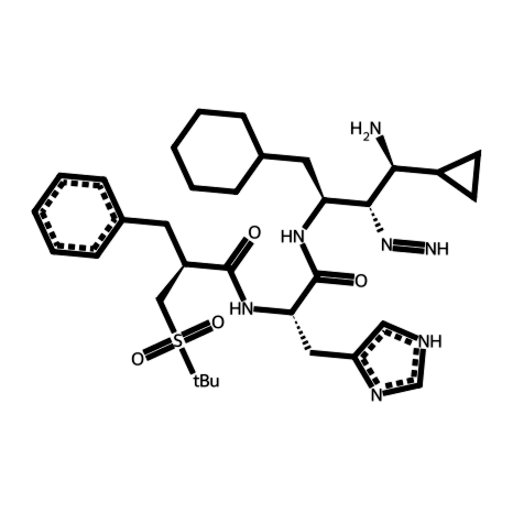 CC(C)(C)S(=O)(=O)C[C@@H](Cc1ccccc1)C(=O)N[C@@H](Cc1c[nH]cn1)C(=O)N[C@@H](CC1CCCCC1)[C@@H](N=N)[C@@H](N)C1CC1